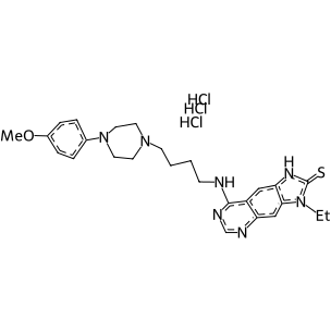 CCn1c(=S)[nH]c2cc3c(NCCCCN4CCN(c5ccc(OC)cc5)CC4)ncnc3cc21.Cl.Cl.Cl